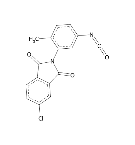 Cc1ccc(N=C=O)cc1N1C(=O)c2ccc(Cl)cc2C1=O